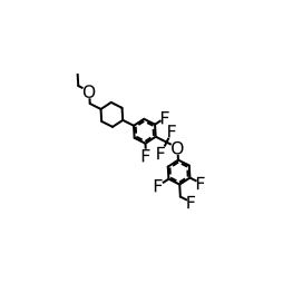 CCOCC1CCC(c2cc(F)c(C(F)(F)Oc3cc(F)c(CF)c(F)c3)c(F)c2)CC1